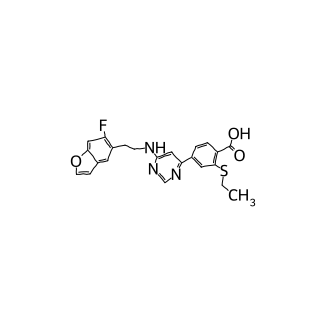 CCSc1cc(-c2cc(NCCc3cc4ccoc4cc3F)ncn2)ccc1C(=O)O